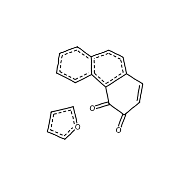 O=C1C=Cc2ccc3ccccc3c2C1=O.c1ccoc1